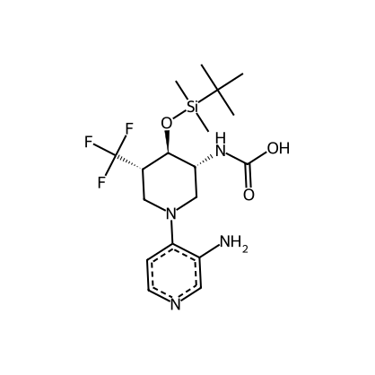 CC(C)(C)[Si](C)(C)O[C@H]1[C@H](NC(=O)O)CN(c2ccncc2N)C[C@@H]1C(F)(F)F